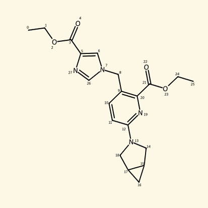 CCOC(=O)c1cn(Cc2ccc(N3CC4CC4C3)nc2C(=O)OCC)cn1